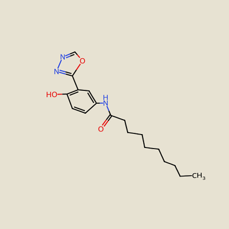 CCCCCCCCCC(=O)Nc1ccc(O)c(-c2nnco2)c1